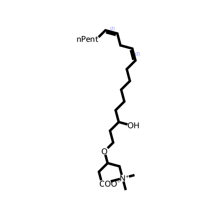 CCCCC/C=C\C/C=C\CCCCCC(O)CCOC(CC(=O)[O-])C[N+](C)(C)C